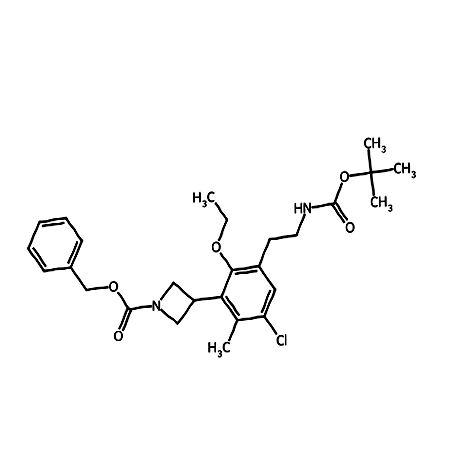 CCOc1c(CCNC(=O)OC(C)(C)C)cc(Cl)c(C)c1C1CN(C(=O)OCc2ccccc2)C1